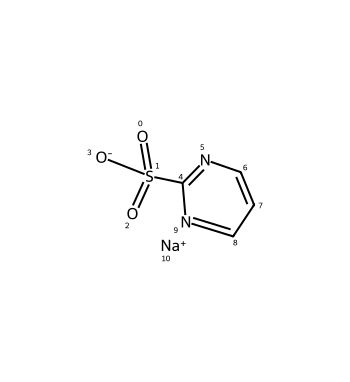 O=S(=O)([O-])c1ncccn1.[Na+]